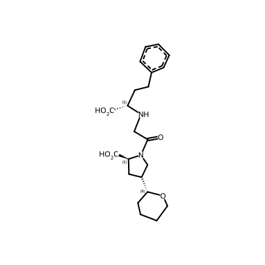 O=C(O)[C@H](CCc1ccccc1)NCC(=O)N1CC([C@H]2CCCCO2)C[C@H]1C(=O)O